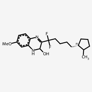 COc1ccc2c(c1)NC(O)C(C(F)(F)CCCC[C@@H]1CCCC1C)=N2